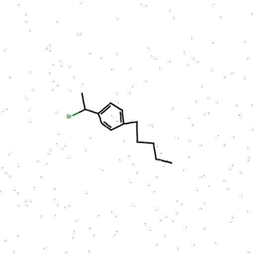 CCCCCc1ccc(C(C)Br)cc1